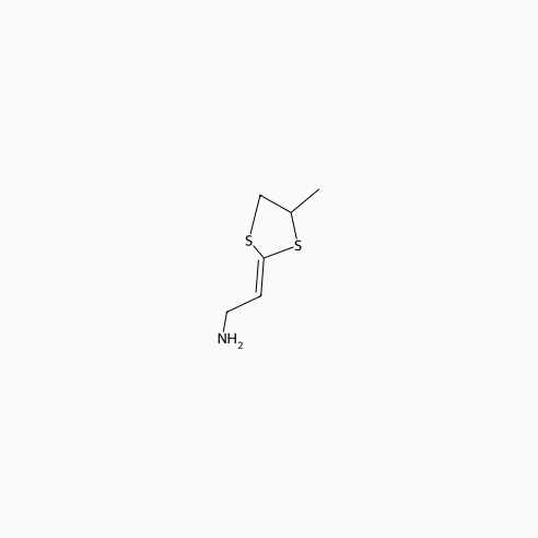 CC1CS/C(=C\CN)S1